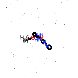 CC(C)C(C)CCOc1cccc2[nH]c(C(=O)NC3CCN(CCN4CCCCCC4)CC3)cc12